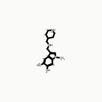 Cn1cc(CNCC2CCNCC2)c2cc(O)c(O)cc21